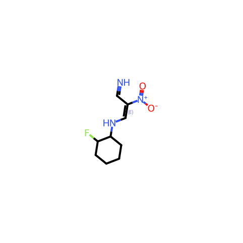 N=C/C(=C\NC1CCCCC1F)[N+](=O)[O-]